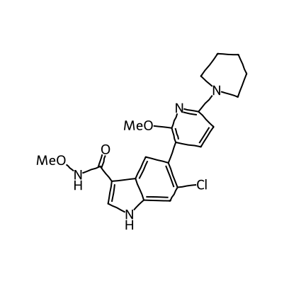 CONC(=O)c1c[nH]c2cc(Cl)c(-c3ccc(N4CCCCC4)nc3OC)cc12